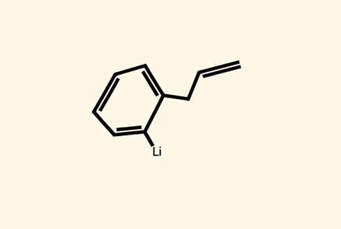 [Li][c]1ccccc1CC=C